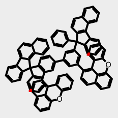 c1ccc(C2(c3cc(-c4ccc(C5(c6ccccc6)c6ccccc6-c6ccc7ccccc7c65)c(-c5ccc6cccc7c6c5-c5ccccc5O7)c4)cc(-c4ccc5cccc6c5c4-c4ccccc4O6)c3)c3ccccc3-c3c2ccc2ccccc32)cc1